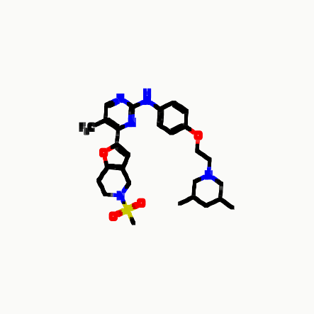 CC1CC(C)CN(CCOc2ccc(Nc3ncc(C(F)(F)F)c(-c4cc5c(o4)CCN(S(C)(=O)=O)C5)n3)cc2)C1